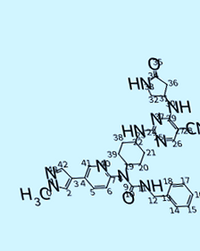 Cn1cc(-c2ccc(N(C(=O)NCc3ccccc3)C3CCC(Nc4ncc(C#N)c(NC5CNC(=O)C5)n4)CC3)nc2)cn1